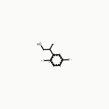 [CH2]C(CO)c1cc(F)ccc1I